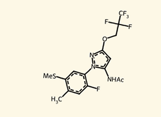 CSc1cc(-n2nc(OCC(F)(F)C(F)(F)F)cc2NC(C)=O)c(F)cc1C